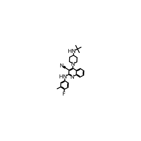 Cc1cc(Nc2nc3ccccc3c(N3CCC(NC(C)(C)C)CC3)c2C#N)ccc1F